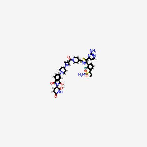 CCC(c1cccc(-c2nc(C3CCN(C(=O)C4CN(C5CCN(c6ccc7c(c6)C(=O)N(C6CCC(=O)NC6=O)C7=O)CC5)C4)CC3)sc2-c2ccnc(N)n2)c1F)S(N)(=O)=O